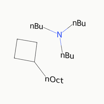 CCCCCCCCC1CCC1.CCCCN(CCCC)CCCC